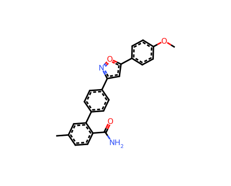 COc1ccc(-c2cc(-c3ccc(-c4cc(C)ccc4C(N)=O)cc3)no2)cc1